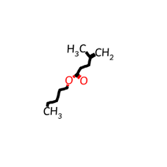 C=C(C)CCC(=O)OCCCCC